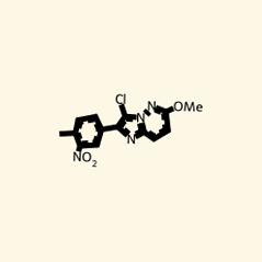 COc1ccc2nc(-c3ccc(C)c([N+](=O)[O-])c3)c(Cl)n2n1